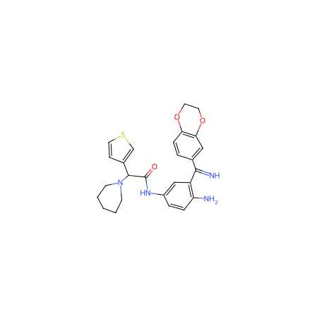 N=C(c1ccc2c(c1)OCCO2)c1cc(NC(=O)C(c2ccsc2)N2CCCCC2)ccc1N